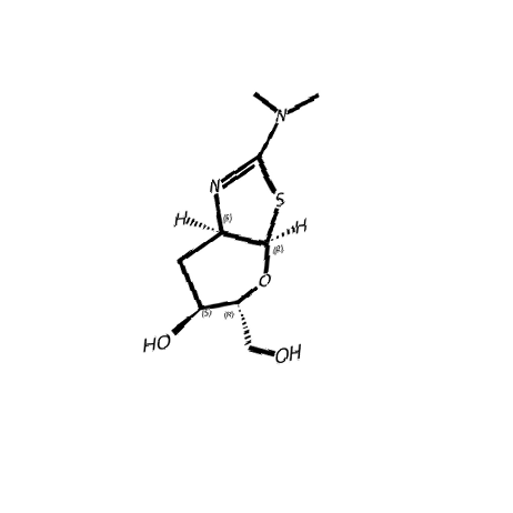 CN(C)C1=N[C@@H]2C[C@H](O)[C@@H](CO)O[C@@H]2S1